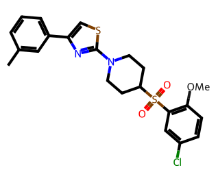 COc1ccc(Cl)cc1S(=O)(=O)C1CCN(c2nc(-c3cccc(C)c3)cs2)CC1